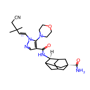 CC(C)(/C=C/n1ncc(C(=O)N[C@H]2C3CC4CC2C[C@](C(N)=O)(C4)C3)c1N1CCOCC1)CC#N